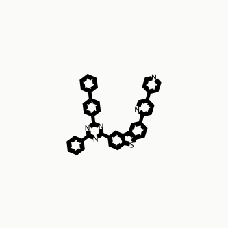 c1ccc(-c2ccc(-c3nc(-c4ccccc4)nc(-c4ccc5sc6ccc(-c7ccc(-c8ccncc8)cn7)cc6c5c4)n3)cc2)cc1